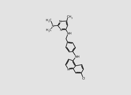 Cc1cc(NCc2ccc(Nc3ccnc4cc(Cl)ccc34)cc2)nc(N(C)C)n1